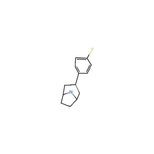 Fc1ccc(C2CC3CCC(C2)[N]3)cc1